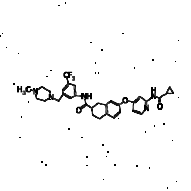 CN1CCN(Cc2cc(NC(=O)C3CCc4ccc(Oc5ccnc(NC(=O)C6CC6)c5)cc4C3)cc(C(F)(F)F)c2)CC1